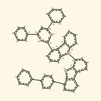 c1ccc(-c2ccc(-c3cccc4c3oc3c(-n5c6ccccc6c6c(-c7nc(-c8ccccc8)cc(-c8ccccc8)n7)cccc65)cccc34)cc2)cc1